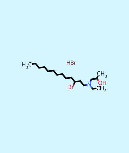 Br.CCCCCCCCCCC(Br)CCN(CC)CC(C)O